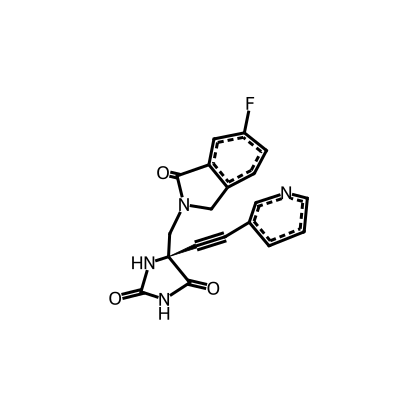 O=C1NC(=O)[C@@](C#Cc2cccnc2)(CN2Cc3ccc(F)cc3C2=O)N1